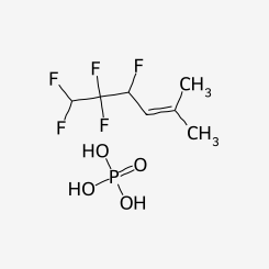 CC(C)=CC(F)C(F)(F)C(F)F.O=P(O)(O)O